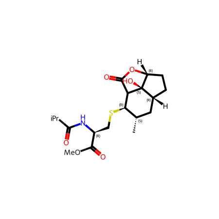 COC(=O)[C@H](CS[C@H]1C2C(=O)O[C@@H]3CC[C@H](C[C@@H]1C)[C@]23O)NC(=O)C(C)C